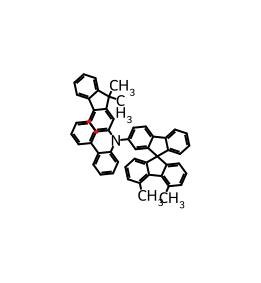 Cc1cccc2c1-c1c(C)cccc1C21c2ccccc2-c2ccc(N(c3ccc4c(c3)C(C)(C)c3ccccc3-4)c3ccccc3-c3ccccc3)cc21